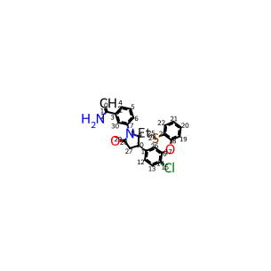 C=C(N)c1cccc(N2C[C@@H](c3ccc(Cl)c(Oc4ccccc4SCC)c3)CC2=O)c1